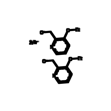 CCOc1cccnc1C[O-].CCOc1cccnc1C[O-].[Br-].[Zr+3]